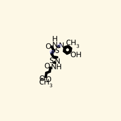 COC(=O)CCC(=O)Nc1ncc(/C=C2\S/C(=N\c3ccc(O)cc3C)NC2=O)s1